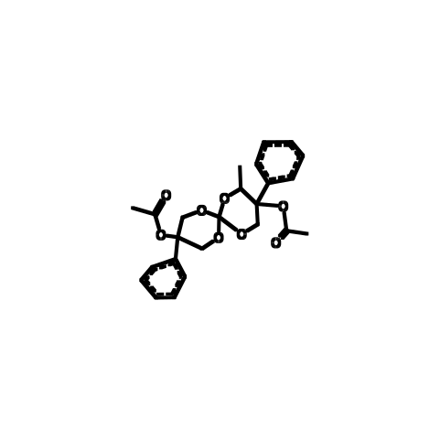 CC(=O)OC1(c2ccccc2)COC2(OC1)OCC(OC(C)=O)(c1ccccc1)C(C)O2